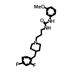 COc1cccc(NC(=O)NCCCN2CCC(Cc3ccc(F)cc3F)CC2)c1